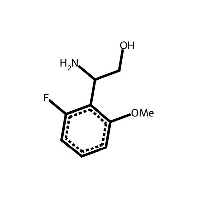 COc1cccc(F)c1C(N)CO